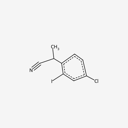 CC(C#N)c1ccc(Cl)cc1I